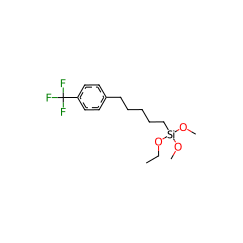 CCO[Si](CCCCCc1ccc(C(F)(F)F)cc1)(OC)OC